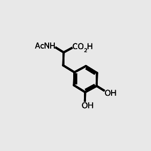 CC(=O)NC(Cc1ccc(O)c(O)c1)C(=O)O